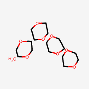 C1COCCO1.C1COCCO1.C1COCCO1.C1COCCO1.O